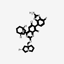 Nc1nc2c(-c3c(Cl)cc4c(N5[C@@H]6CCC[C@H]5CC6)nc(OC[C@@]56CCCN5C[C@H](F)C6)nc4c3F)ccc(F)c2s1